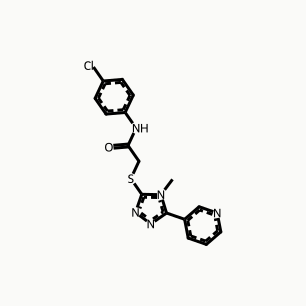 Cn1c(SCC(=O)Nc2ccc(Cl)cc2)nnc1-c1cccnc1